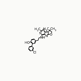 Cc1nc(NCCc2ccc(O)c(-c3cccc(Cl)c3)c2)c2nc3n(c2n1)C(C)(C)CO3